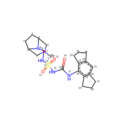 CC(C)N1CC2CCC(C1)N2CNS(=O)(=O)NC(=O)Nc1c2c(cc3c1CCC3)CCC2